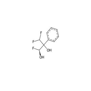 O[C@@H](F)C(O)(c1ccccc1)C(F)F